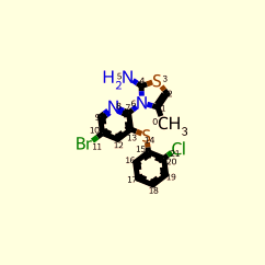 CC1=CSC(N)N1c1ncc(Br)cc1Sc1ccccc1Cl